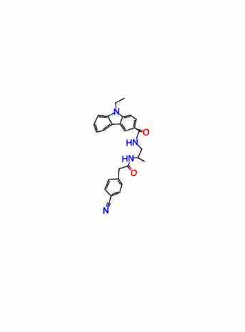 CCn1c2ccccc2c2cc(C(=O)NCC(C)NC(=O)Cc3ccc(C#N)cc3)ccc21